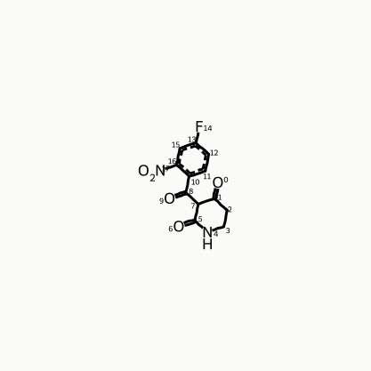 O=C1CCNC(=O)C1C(=O)c1ccc(F)cc1[N+](=O)[O-]